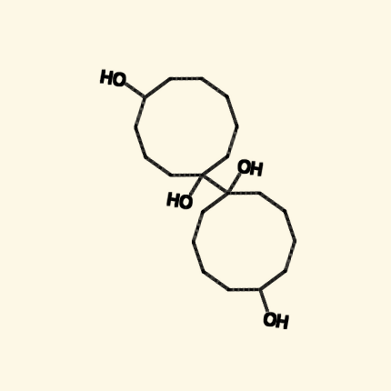 OC1CCCCC(O)(C2(O)CCCCCC(O)CCC2)CCCC1